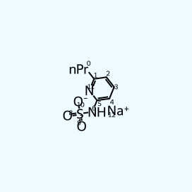 CCCc1cccc(NS(=O)(=O)[O-])n1.[Na+]